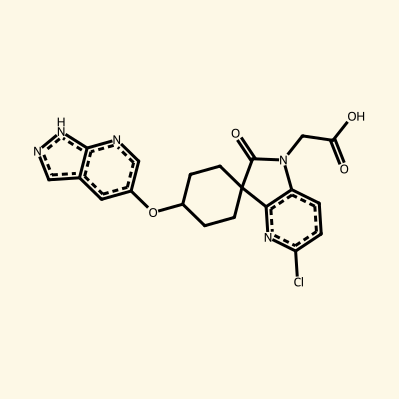 O=C(O)CN1C(=O)C2(CCC(Oc3cnc4[nH]ncc4c3)CC2)c2nc(Cl)ccc21